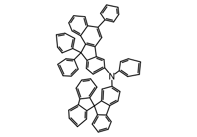 c1ccc(-c2cc3c(c4ccccc24)C(c2ccccc2)(c2ccccc2)c2ccc(N(c4ccccc4)c4ccc5c(c4)C4(c6ccccc6-c6ccccc64)c4ccccc4-5)cc2-3)cc1